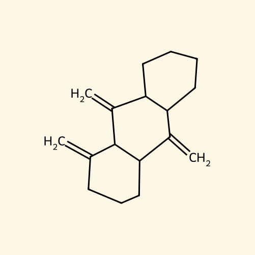 C=C1C2CCCCC2C(=C)C2C(=C)CCCC12